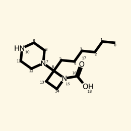 CCCCCCC1(N2CCNCC2)CCN1C(=O)O